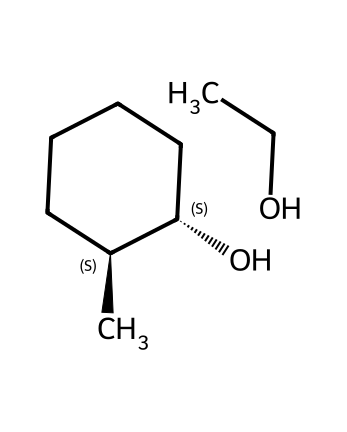 CCO.C[C@H]1CCCC[C@@H]1O